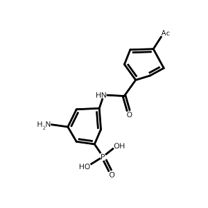 CC(=O)c1ccc(C(=O)Nc2cc(N)cc(P(=O)(O)O)c2)cc1